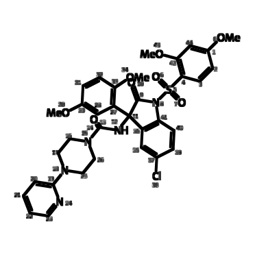 COc1ccc(S(=O)(=O)N2C(=O)C(NC(=O)N3CCN(c4ccccn4)CC3)(c3cc(OC)ccc3OC)c3cc(Cl)ccc32)c(OC)c1